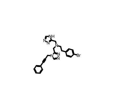 Brc1ccc(CCN(Cc2nnc[nH]2)Cc2nncn2CC#Cc2ccccc2)cc1